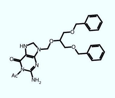 CC(=O)n1c(N)nc2c(c1=O)NCN2COC(COCc1ccccc1)COCc1ccccc1